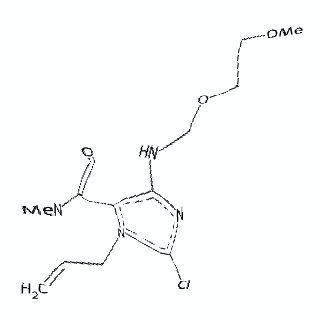 C=CCn1c(Cl)nc(NCOCCOC)c1C(=O)NC